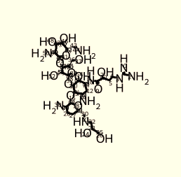 N=C(N)NCC[C@H](O)C(=O)N[C@@H]1C[C@H](N)[C@@H](O[C@H]2O[C@H](CNCC(O)CO)CC[C@H]2N)[C@H](O[C@@H]2O[C@H](CO)[C@@H](O[C@H]3O[C@@H](CN)[C@@H](O)[C@H](O)[C@H]3N)[C@H]2O)[C@H]1O